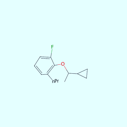 CCCc1cccc(F)c1OC(C)C1CC1